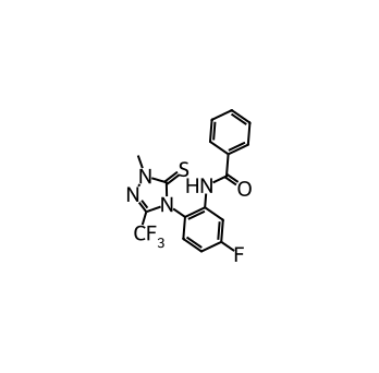 Cn1nc(C(F)(F)F)n(-c2ccc(F)cc2NC(=O)c2ccccc2)c1=S